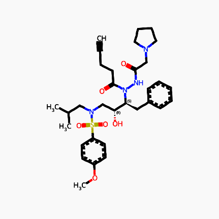 C#CCCC(=O)N(NC(=O)CN1CCCC1)[C@@H](Cc1ccccc1)[C@H](O)CN(CC(C)C)S(=O)(=O)c1ccc(OC)cc1